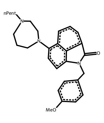 CCCCCN1CCCN(c2ccc3c4c(cccc24)C(=O)N3Cc2ccc(OC)cc2)CC1